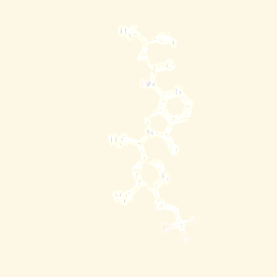 Cc1cc(C(C)N2Cc3c(ccnc3NC(=O)OC(C)C)C2=O)cnc1OCC(F)(F)F